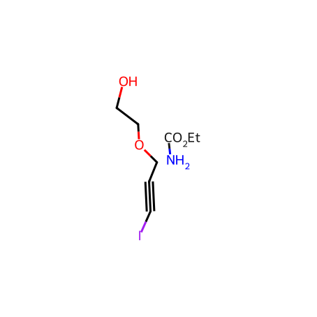 CCOC(N)=O.OCCOCC#CI